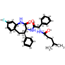 CC(C)CCC(=O)N[C@H](C(=O)N[C@@H]1C(=O)Nc2cc(F)ccc2C[C@@H]1c1ccccc1)c1ccccc1